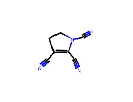 N#CC1=C(C#N)N(C#N)CC1